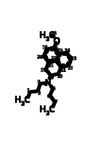 CCCCN(CCCC)C1Cc2cccc3c(OC)ccc(c23)C1